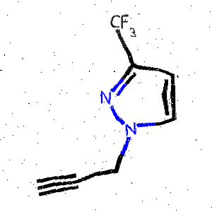 C#CCn1c[c]c(C(F)(F)F)n1